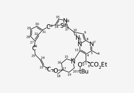 CCOC(=O)[C@@H](OC(C)(C)C)c1c(C)nc2cc3nn2c1N1CCC(C)(CC1)OC/C=C/CCc1cccc(c1)Cc1cnc-3s1